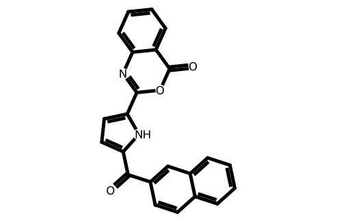 O=C(c1ccc2ccccc2c1)c1ccc(-c2nc3ccccc3c(=O)o2)[nH]1